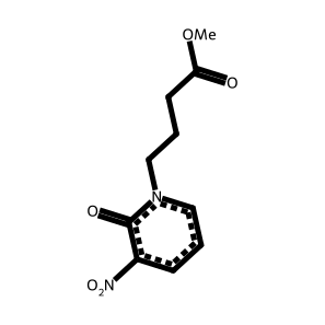 COC(=O)CCCn1cccc([N+](=O)[O-])c1=O